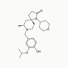 CC(C)Oc1cc(CN2CC[C@]3(CCC(=O)N3C3CCOCC3)C[C@@H]2C)ccc1O